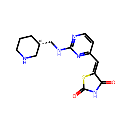 O=C1NC(=O)C(=Cc2ccnc(NC[C@H]3CCCNC3)n2)S1